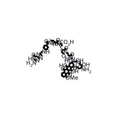 COc1cccc2c1C(=O)c1c(O)c3c(c(O)c1C2=O)C[C@@](O)(/C(CO)=N\NC(=O)CCN1C(=O)CC(SC[C@H](NC(=O)CC[C@@H](C)NC(=O)c2ccc(NCc4cnc5nc(N)[nH]c(=O)c5n4)cc2)C(=O)O)C1=O)C[C@@H]3O[C@H]1CC(N)[C@H](O)C(C)O1